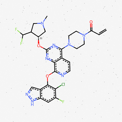 C=CC(=O)N1CCN(c2nc(O[C@@H]3CN(C)CC3C(F)F)nc3c(Oc4c(Cl)c(F)cc5[nH]ncc45)nccc23)CC1